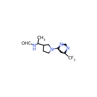 CC(NC=O)C1CCN(c2cc(C(F)(F)F)ncn2)C1